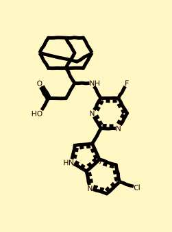 O=C(O)CC(Nc1nc(-c2c[nH]c3ncc(Cl)cc23)ncc1F)C12CC3CC(CC(C3)C1)C2